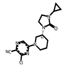 N#Cc1ncc(N2CCC[C@@H](N3CCN(C4CC4)C3=O)C2)nc1Cl